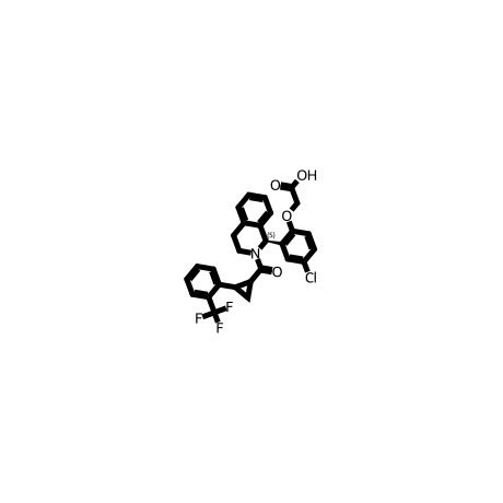 O=C(O)COc1ccc(Cl)cc1[C@@H]1c2ccccc2CCN1C(=O)C1CC1c1ccccc1C(F)(F)F